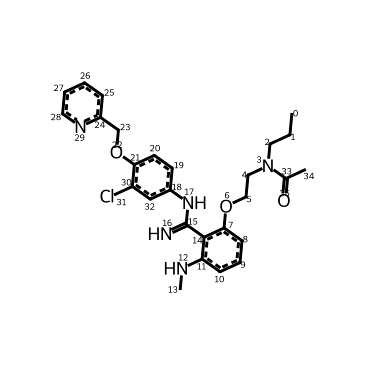 CCCN(CCOc1cccc(NC)c1C(=N)Nc1ccc(OCc2ccccn2)c(Cl)c1)C(C)=O